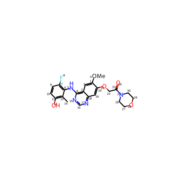 COc1cc2c(Nc3c(F)ccc(O)c3C)ncnc2cc1OCC(=O)N1CCOCC1